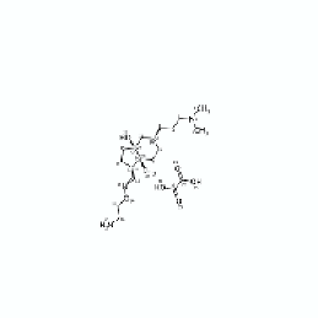 CN(C)CCC[C@H]1CC[C@]2(C)[C@@H](C=NOCCN)CC[C@]2(O)C1.O=C(O)C(=O)O